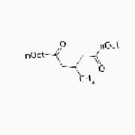 CCCCCCCCC(=O)CC(C)CC(=O)CCCCCCCC